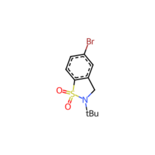 CC(C)(C)N1Cc2cc(Br)ccc2S1(=O)=O